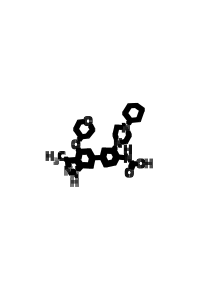 Cc1n[nH]c2cc(-c3ccc(NC(=O)O)c(N4CCN(C5CCCCC5)CC4)c3)cc(OC3CCOCC3)c12